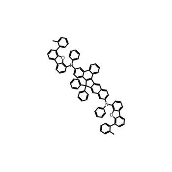 Cc1ccccc1-c1cccc2c1oc1c(N(c3ccccc3)c3ccc4cc5c(cc4c3)C(c3ccccc3)(c3ccccc3)c3c-5c4ccccc4c4cc(N(c5ccccc5)c5cccc6c5oc5c(-c7ccccc7C)cccc56)ccc34)cccc12